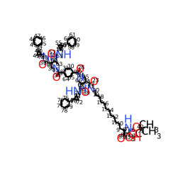 CC(C)(C)OC(=O)NC(CCCCCCCCCCCCNC(=O)[C@@H]1CN(C(=O)c2ccc(C(=O)N3C[C@@H](C(=O)N[C@H]4C[C@@H]4c4ccccc4)[C@H](C(=O)N[C@H]4C[C@@H]4c4ccccc4)C3)cc2)C[C@H]1C(=O)N[C@H]1C[C@@H]1c1ccccc1)C(=O)O